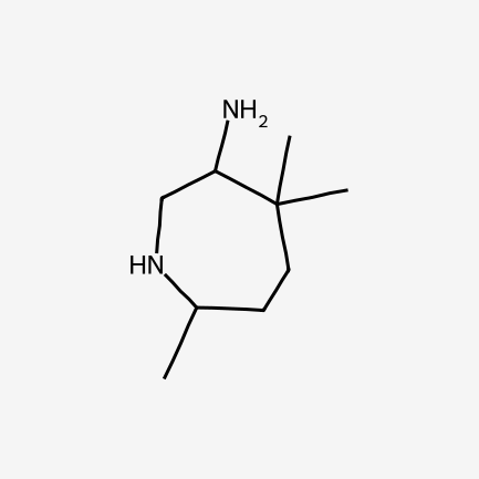 CC1CCC(C)(C)C(N)CN1